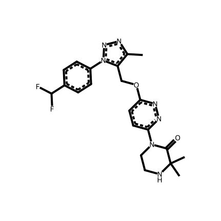 Cc1nnn(-c2ccc(C(F)F)cc2)c1COc1ccc(N2CCNC(C)(C)C2=O)nn1